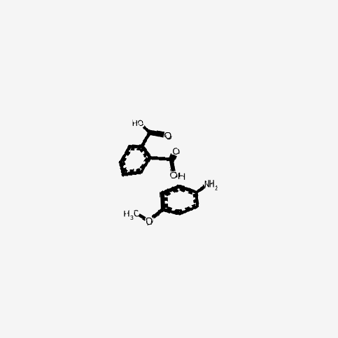 COc1ccc(N)cc1.O=C(O)c1ccccc1C(=O)O